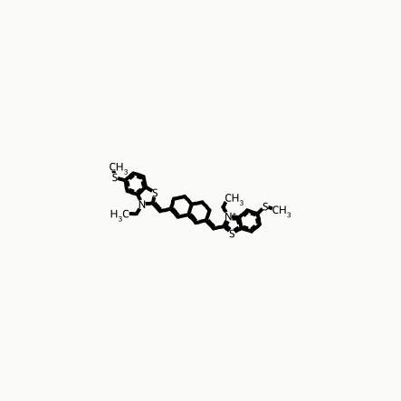 CCN1/C(=C/C2=CC3=C/C(=C/c4sc5ccc(SC)cc5[n+]4CC)CCC3CC2)Sc2ccc(SC)cc21